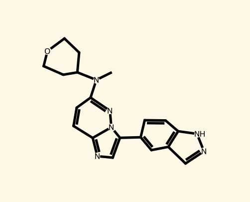 CN(c1ccc2ncc(-c3ccc4[nH]ncc4c3)n2n1)C1CCOCC1